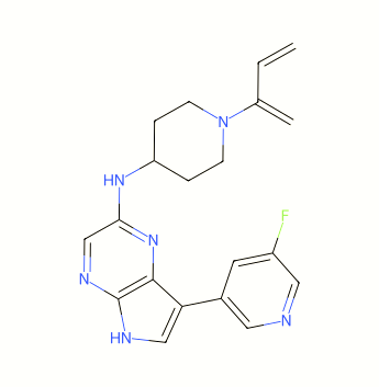 C=CC(=C)N1CCC(Nc2cnc3[nH]cc(-c4cncc(F)c4)c3n2)CC1